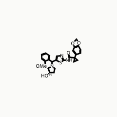 COc1ccccc1C(c1cnc(NC(=O)C2(c3ccc4c(c3)OCO4)CC2)s1)N1CC[C@@H](O)C1